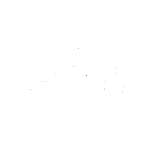 CC(C)(C)OC(=O)C[S+]([O-])c1cccc2c1C(=O)N(C1CCC(=O)NC1=O)C2=O